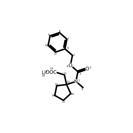 CN(C(=O)OCc1ccccc1)C1(CC(=O)[O-])CCCC1.[Li+]